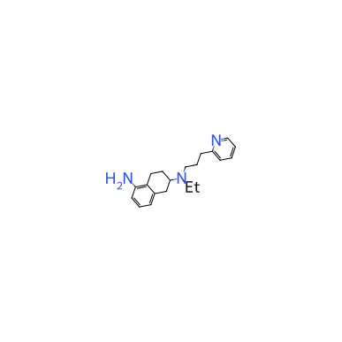 CCN(CCCc1ccccn1)C1CCc2c(N)cccc2C1